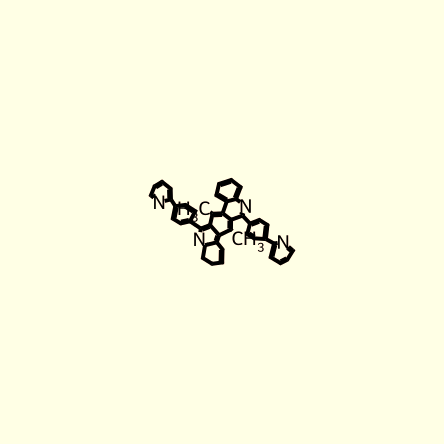 Cc1c2c3c(nc(-c4ccc(-c5ccccn5)cc4)c2c(C)c2c1c(-c1ccc(-c4ccccn4)cc1)nc1ccccc12)CCC=C3